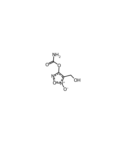 NC(=O)Oc1no[n+]([O-])c1CO